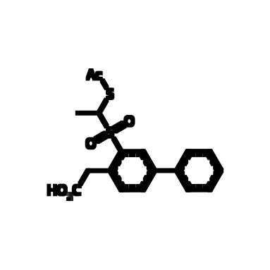 CC(=O)SC(C)S(=O)(=O)c1cc(-c2ccccc2)ccc1CC(=O)O